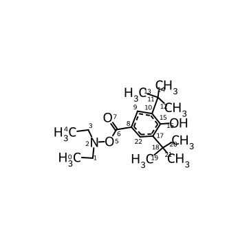 CCN(CC)OC(=O)c1cc(C(C)(C)C)c(O)c(C(C)(C)C)c1